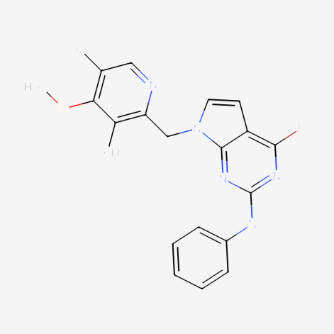 COc1c(C)cnc(Cn2ccc3c(Br)nc(Nc4ccccc4)nc32)c1C